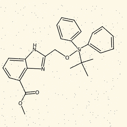 COC(=O)c1cccc2[nH]c(CO[Si](c3ccccc3)(c3ccccc3)C(C)(C)C)nc12